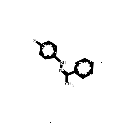 C/C(=N/Nc1ccc(F)cc1)c1ccccc1